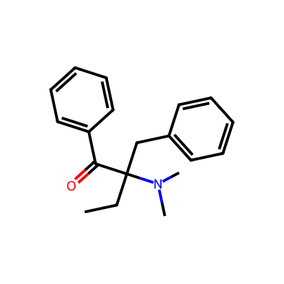 CCC(Cc1ccccc1)(C(=O)c1ccccc1)N(C)C